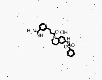 Cl.N=C(N)c1cccc(CCC(=O)N2CCCc3cc(NS(=O)(=O)c4ccccc4)ccc32)c1